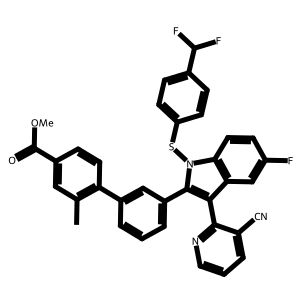 COC(=O)c1ccc(-c2cccc(-c3c(-c4ncccc4C#N)c4cc(F)ccc4n3Sc3ccc(C(F)F)cc3)c2)c(C)c1